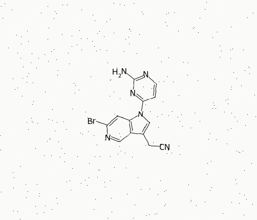 N#CCc1cn(-c2ccnc(N)n2)c2cc(Br)ncc12